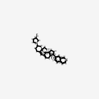 C[C@]12CC=C3C=C4CCC(N5CC[C@@H](F)C5)C[C@]45CC[C@]3(O5)[C@@H]1CCC2c1ccc2ccncc2c1